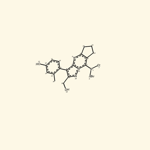 CCCCN(CC)c1c2c(nc3c(-c4ccc(O)cc4C)c(CO)nn13)CCC2